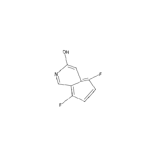 Oc1cc2c(F)ccc(F)c2cn1